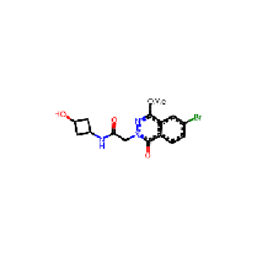 COc1nn(CC(=O)NC2CC(O)C2)c(=O)c2ccc(Br)cc12